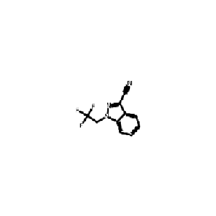 N#Cc1nn(CC(F)(F)F)c2ccccc12